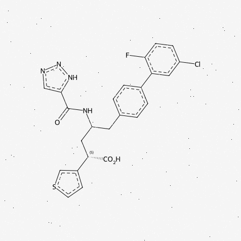 O=C(NC(Cc1ccc(-c2cc(Cl)ccc2F)cc1)C[C@H](C(=O)O)c1ccsc1)c1cnn[nH]1